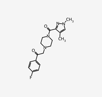 Cc1cn(C)nc1C(=O)N1CCN(CC(=O)c2ccc(F)cc2)CC1